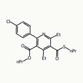 CCCOC(=O)c1c(-c2ccc(Cl)cc2)nc(CC)c(C(=O)SCCC)c1CC